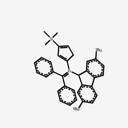 CC(C)(C)c1ccc2c(c1)[CH]([Zr]([C]1=CC([Si](C)(C)C)=CC1)=[C](c1ccccc1)c1ccccc1)c1cc(C(C)(C)C)ccc1-2